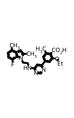 CCOc1cc(-c2cc(NCCn3c(C)cc4c(C)ccc(F)c43)ncn2)cc(C)c1C(=O)O